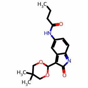 CCCC(=O)Nc1ccc2c(c1)=C(C1OCC(C)(C)CO1)C(=O)N=2